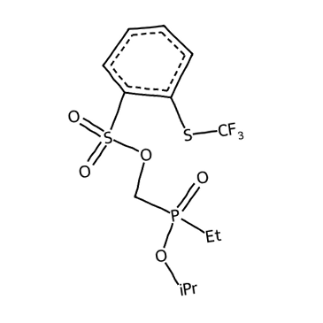 CCP(=O)(COS(=O)(=O)c1ccccc1SC(F)(F)F)OC(C)C